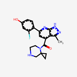 Cc1n[nH]c2nc(-c3ccc(O)cc3F)cc(C(=O)N3CCNCC34CC4)c12